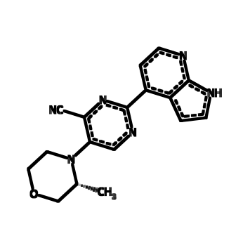 C[C@@H]1COCCN1c1cnc(-c2ccnc3[nH]ccc23)nc1C#N